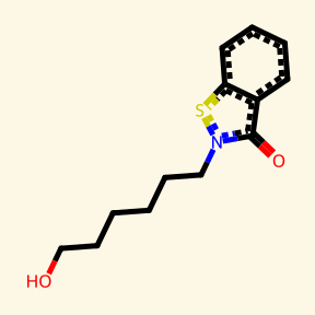 O=c1c2ccccc2sn1CCCCCCO